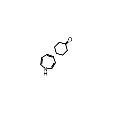 C1=CC=CNC=C1.O=C1CCCCC1